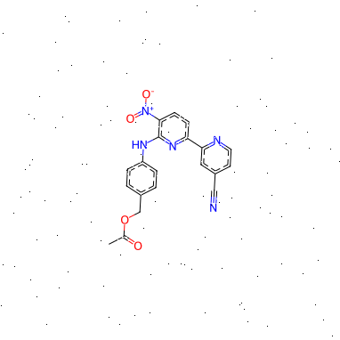 CC(=O)OCc1ccc(Nc2nc(-c3cc(C#N)ccn3)ccc2[N+](=O)[O-])cc1